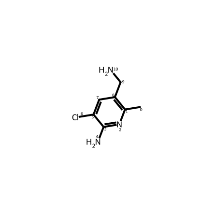 Cc1nc(N)c(Cl)cc1CN